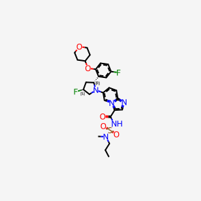 CCCN(C)S(=O)(=O)NC(=O)c1cnc2ccc(N3C[C@@H](F)C[C@@H]3c3cc(F)ccc3OC3CCOCC3)cn12